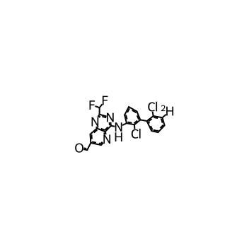 [2H]c1cccc(-c2cccc(Nc3nc(C(F)F)nc4cc(C=O)cnc34)c2Cl)c1Cl